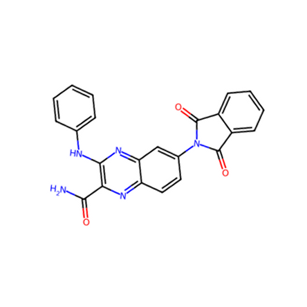 NC(=O)c1nc2ccc(N3C(=O)c4ccccc4C3=O)cc2nc1Nc1ccccc1